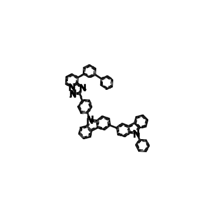 c1ccc(-c2cccc(-c3cccn4nc(-c5ccc(-n6c7ccccc7c7cc(-c8ccc9c(c8)c8ccccc8n9-c8ccccc8)ccc76)cc5)nc34)c2)cc1